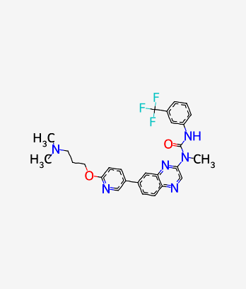 CN(C)CCCOc1ccc(-c2ccc3ncc(N(C)C(=O)Nc4cccc(C(F)(F)F)c4)nc3c2)cn1